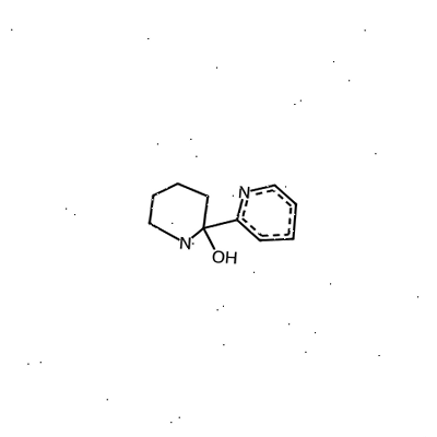 OC1(c2ccccn2)CCCC[N]1